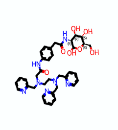 O=C(CN(CCN(Cc1ccccn1)Cc1ccccn1)Cc1ccccn1)Nc1ccc(CC(=O)N[C@H]2C(O)O[C@H](CO)[C@@H](O)[C@@H]2O)cc1